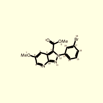 COC(=O)c1c2cc(OC)cnc2nn1-c1cccc(Br)c1